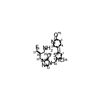 COc1ccc(-c2ccc(Cn3cnn(C/C(=C/F)CN)c3=O)s2)cn1.Cl